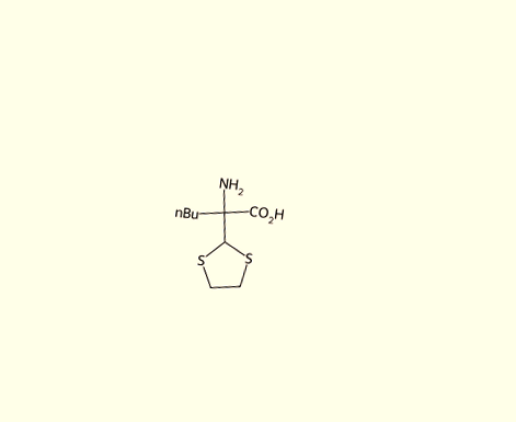 CCCCC(N)(C(=O)O)C1SCCS1